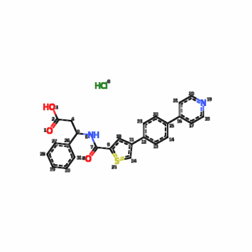 Cl.O=C(O)CC(NC(=O)c1cc(-c2ccc(-c3ccncc3)cc2)cs1)c1ccccc1